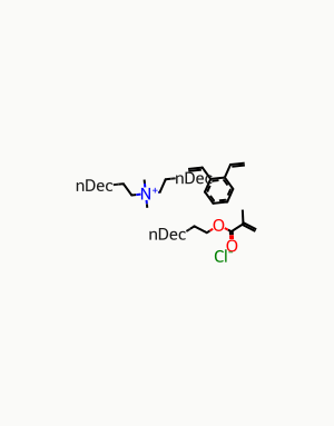 C=C(C)C(=O)OCCCCCCCCCCCC.C=Cc1ccccc1C=C.CCCCCCCCCCCC[N+](C)(C)CCCCCCCCCCCC.[Cl-]